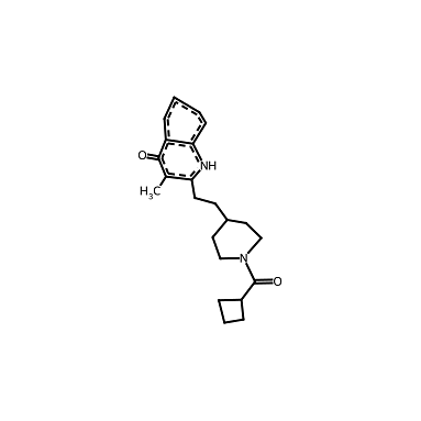 Cc1c(CCC2CCN(C(=O)C3CCC3)CC2)[nH]c2ccccc2c1=O